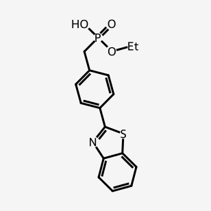 CCOP(=O)(O)Cc1ccc(-c2nc3ccccc3s2)cc1